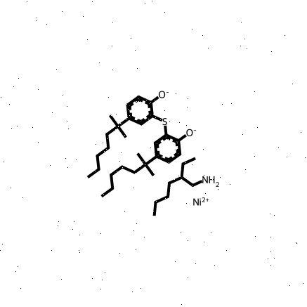 CCCCC(CC)CN.CCCCCC(C)(C)c1ccc([O-])c(Sc2cc(C(C)(C)CCCCC)ccc2[O-])c1.[Ni+2]